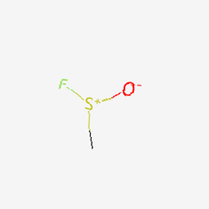 C[S+]([O-])F